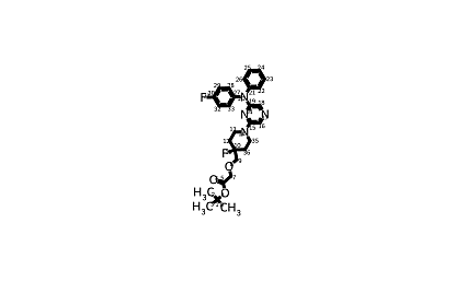 CC(C)(C)OC(=O)COCC1(F)CCN(c2cncc(N(c3ccccc3)c3ccc(F)cc3)n2)CC1